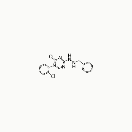 O=c1nc(NNCc2ccccc2)ncn1-c1ccccc1Cl